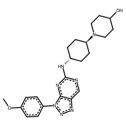 COc1ccc(-n2nnc3cnc(N[C@H]4CC[C@H](N5CCC(O)CC5)CC4)nc32)cc1